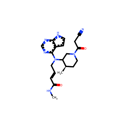 CNC(=O)/C=C/CN(c1ncnc2[nH]ccc12)C1CN(C(=O)CC#N)CC[C@H]1C